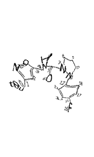 CC(C)(C)c1cc(NC(=O)N2CCCN2c2ccc(F)cc2)on1